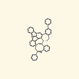 C1=C(/[C@H]2CCc3ccc(-c4ccccc4)cc3-c3cc4c5ccccc5n5c6ccccc6c(c32)c45)c2ccccc2/N=C(/c2ccccc2)CC/1